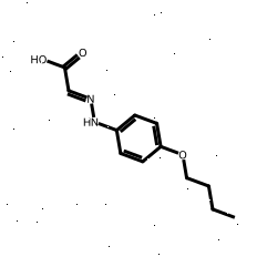 CCCCOc1ccc(NN=CC(=O)O)cc1